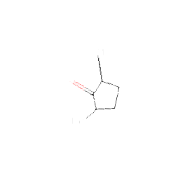 C[C]1CCC(C)C1=O